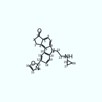 O=C1CCc2c1ccc1c2c2cc(-c3ncco3)ccc2n1CCNC1CC1